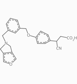 N#CC(CC(=O)O)c1ccc(OCc2cccc(CN3Cc4cocc4C3)c2)cc1